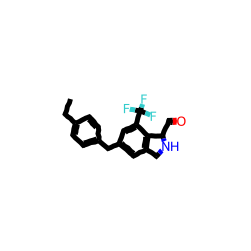 CCc1ccc(Cc2cc3c(c(C(F)(F)F)c2)C(C=O)NC3)cc1